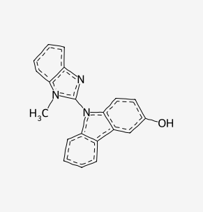 Cn1c(-n2c3ccccc3c3cc(O)ccc32)nc2ccccc21